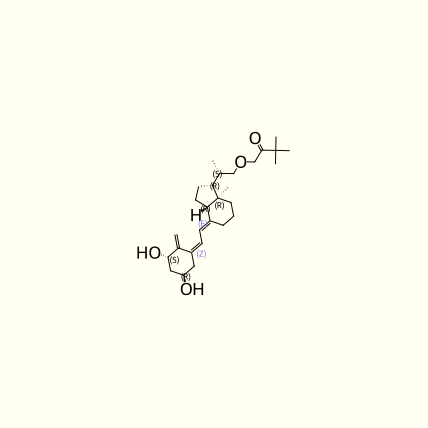 C=C1/C(=C\C=C2/CCC[C@]3(C)[C@@H]([C@H](C)COCC(=O)C(C)(C)C)CC[C@@H]23)C[C@@H](O)C[C@@H]1O